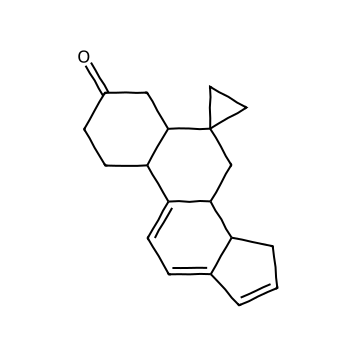 O=C1CCC2C3=CC=C4C=CCC4C3CC3(CC3)C2C1